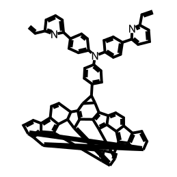 C=Cc1cccc(-c2ccc(N(c3ccc(-c4cccc(C=C)n4)cc3)c3ccc(C4C5C6=c7c8c9c%10c%11c%12c(c%13ccc%14c%15ccc%16c%17ccc%18c(c7c7c%18c%17c%17c%16c%15c(c%14c%13%11)c%10c%17c97)C54)C=CC6C%128)cc3)cc2)n1